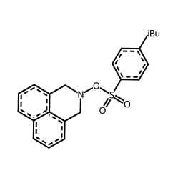 CCC(C)c1ccc(S(=O)(=O)ON2Cc3cccc4cccc(c34)C2)cc1